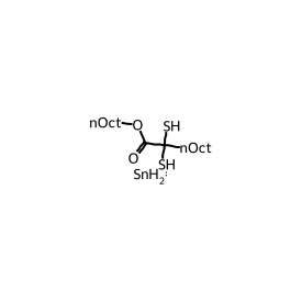 CCCCCCCCOC(=O)C(S)(S)CCCCCCCC.[SnH2]